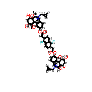 O=C(Cc1ccc2c(F)c(CC(=O)Oc3ccc4c5c3O[C@H]3C(=O)CC[C@@]6(O)[C@@H](C4)N(CC4CC4)CC[C@]536)ccc2c1F)Oc1ccc2c3c1O[C@H]1C(=O)CC[C@@]4(O)[C@@H](C2)N(CC2CC2)CC[C@]314